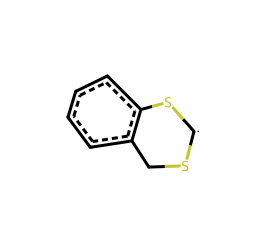 [CH]1SCc2ccccc2S1